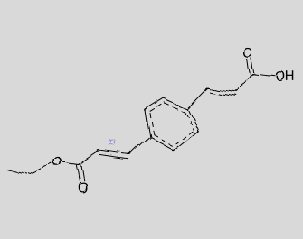 CCOC(=O)/C=C/c1ccc(C=CC(=O)O)cc1